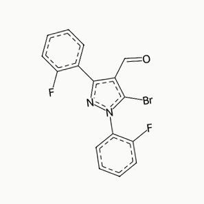 O=Cc1c(-c2ccccc2F)nn(-c2ccccc2F)c1Br